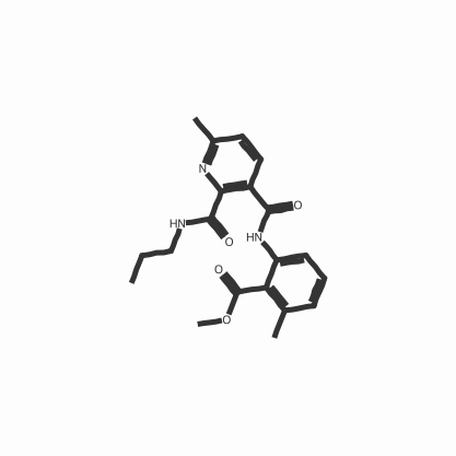 CCCNC(=O)c1nc(C)ccc1C(=O)Nc1cccc(C)c1C(=O)OC